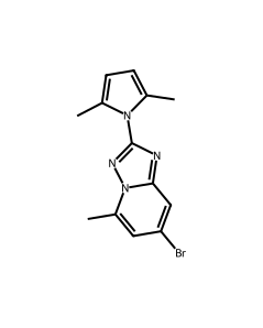 Cc1ccc(C)n1-c1nc2cc(Br)cc(C)n2n1